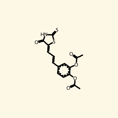 CC(=O)Oc1ccc(/C=C/C=C2\SC(=S)NC2=O)cc1OC(C)=O